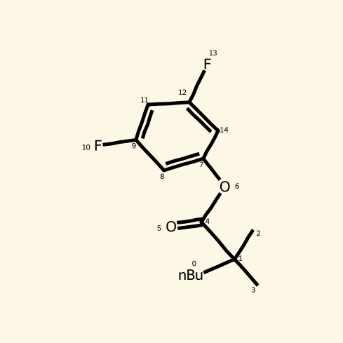 CCCCC(C)(C)C(=O)Oc1cc(F)cc(F)c1